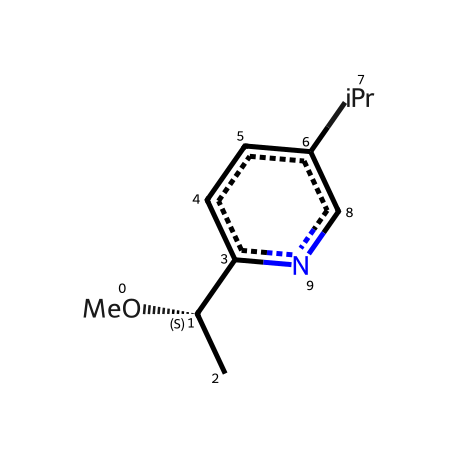 CO[C@@H](C)c1ccc(C(C)C)cn1